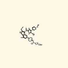 CCc1nc2c(C)cc(N3CCN(CC(=O)C4CC(O)C4)CC3)cn2c1N(C)c1nc(-c2ccc(F)cc2)c(C#N)s1